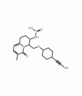 CCCC#CC1CCC(OCC2C(NS(=O)O)CCc3ccc(C)c(=O)n32)CC1